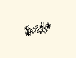 O=C(C(=O)N1CCN(c2nnnn2-c2nccs2)CC1)c1c[nH]c2c(-n3ccnn3)ncc(F)c12